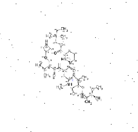 C=CC(CNC(=C)[C@H](C)OC)N(C)/N=C(/C[C@H](NC(=O)[C@@H](COC1CNC1)C(C)C)C(=O)N1CCC[C@@H](C(=O)OCC(C)(C)CC)N1)NC